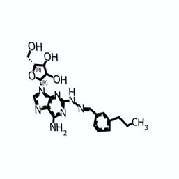 CCCc1cccc(C=NNc2nc(N)c3ncn([C@@H]4O[C@H](CO)C(O)C4O)c3n2)c1